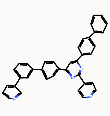 c1ccc(-c2ccc(-c3cc(-c4ccc(-c5cccc(-c6cccnc6)c5)cc4)nc(-c4ccncc4)n3)cc2)cc1